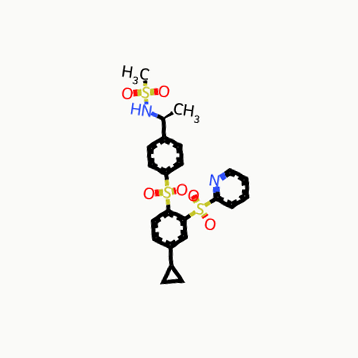 C[C@H](NS(C)(=O)=O)c1ccc(S(=O)(=O)c2ccc(C3CC3)cc2S(=O)(=O)c2ccccn2)cc1